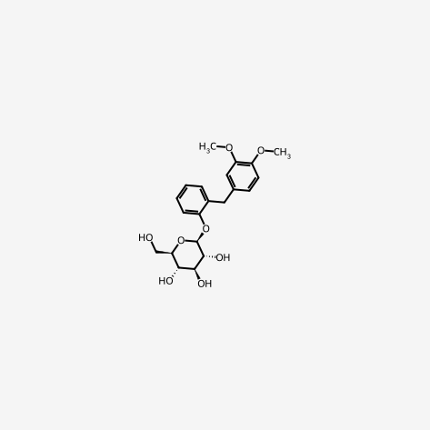 COc1ccc(Cc2ccccc2O[C@@H]2O[C@H](CO)[C@@H](O)[C@H](O)[C@H]2O)cc1OC